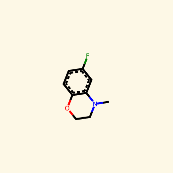 CN1CCOc2ccc(F)cc21